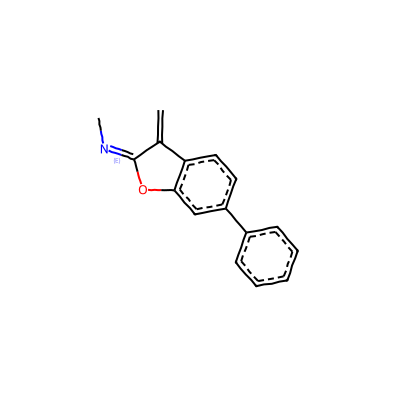 C=C1/C(=N\C)Oc2cc(-c3ccccc3)ccc21